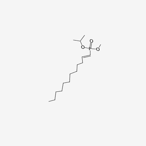 CCCCCCCCCC/C=C/P(=O)(OC)OC(C)C